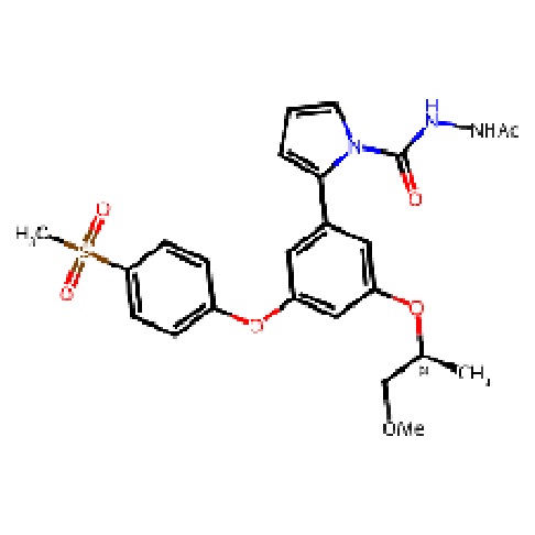 COC[C@H](C)Oc1cc(Oc2ccc(S(C)(=O)=O)cc2)cc(-c2cccn2C(=O)NNC(C)=O)c1